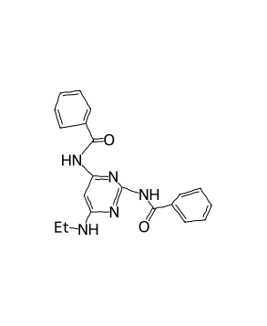 CCNc1cc(NC(=O)c2ccccc2)nc(NC(=O)c2ccccc2)n1